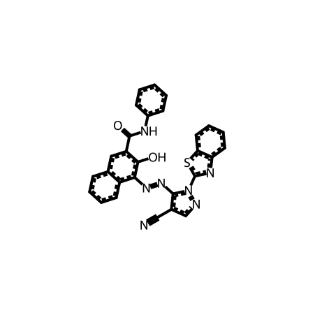 N#Cc1cnn(-c2nc3ccccc3s2)c1/N=N/c1c(O)c(C(=O)Nc2ccccc2)cc2ccccc12